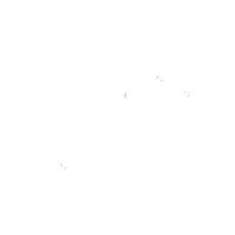 CCc1nc(CCCCCCc2cccc(-c3nc4ccccc4nc3OC(C)C)c2)cs1